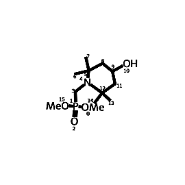 COP(=O)(CN1C(C)(C)CC(O)CC1(C)C)OC